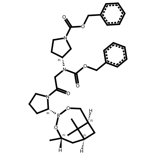 C[C@H]1C[C@@H]2C[C@H](COB([C@@H]3CCCN3C(=O)CN(C(=O)OCc3ccccc3)[C@@H]3CCN(C(=O)OCc4ccccc4)C3)O1)C2(C)C